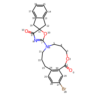 O=C1OCCCN(C2=NC(=O)C3(Cc4ccccc4C3)O2)CCCc2ccc(Br)cc21